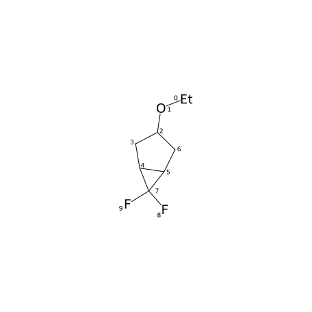 CCOC1CC2C(C1)C2(F)F